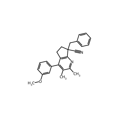 COc1cccc(-c2c(C)c(C)nc3c2CCC3(C#N)Cc2ccccc2)c1